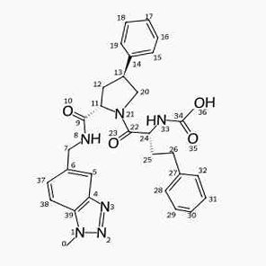 Cn1nnc2cc(CNC(=O)[C@@H]3C[C@@H](c4ccccc4)CN3C(=O)[C@@H](CCc3ccccc3)NC(=O)O)ccc21